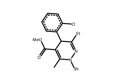 CCC1=NN(C(C)C)C(C)=C(C(=O)OC)C1c1ccccc1Cl